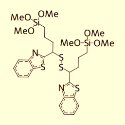 CO[Si](CCCC(SSC(CCC[Si](OC)(OC)OC)c1nc2ccccc2s1)c1nc2ccccc2s1)(OC)OC